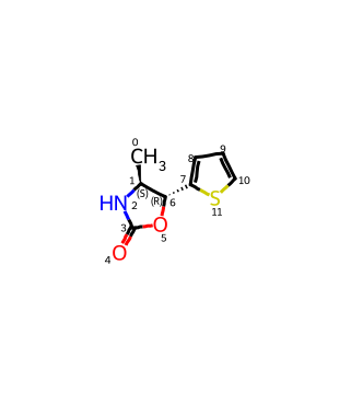 C[C@@H]1NC(=O)O[C@H]1c1cccs1